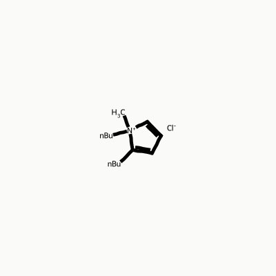 CCCCC1=CC=C[N+]1(C)CCCC.[Cl-]